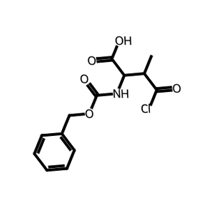 CC(C(=O)Cl)C(NC(=O)OCc1ccccc1)C(=O)O